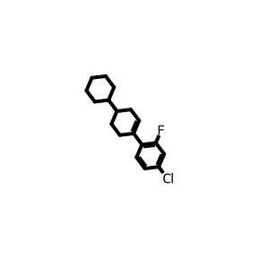 Fc1cc(Cl)ccc1C1=CCC(C2CCCCC2)CC1